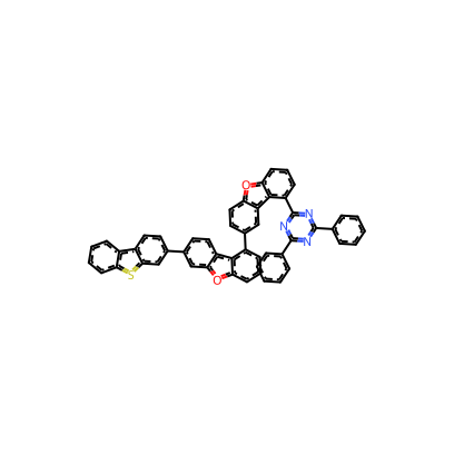 c1ccc(-c2nc(-c3ccccc3)nc(-c3cccc4oc5ccc(-c6cccc7oc8cc(-c9ccc%10c(c9)sc9ccccc9%10)ccc8c67)cc5c34)n2)cc1